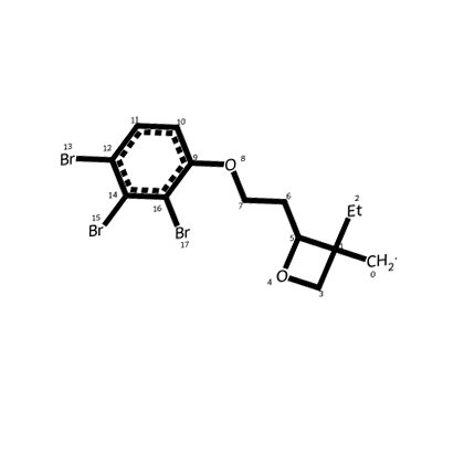 [CH2]C1(CC)COC1CCOc1ccc(Br)c(Br)c1Br